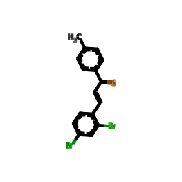 Cc1ccc(C(=S)C=Cc2ccc(Br)cc2Br)cc1